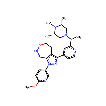 COc1ccc(-n2nc(-c3ccnc([C@H](C)N4C[C@@H](C)N(C)[C@@H](C)C4)c3)c3c2CNOCC3)cn1